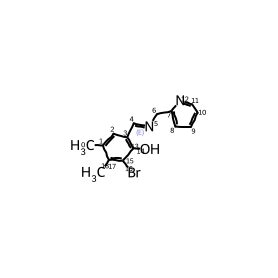 Cc1cc(/C=N/Cc2ccccn2)c(O)c(Br)c1C